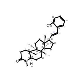 CN1C(=O)CC[C@]2(C)[C@H]3CC[C@]4(C)[C@@H](/C=C/c5ccccc5Cl)CC[C@H]4[C@@H]3CC[C@@H]12